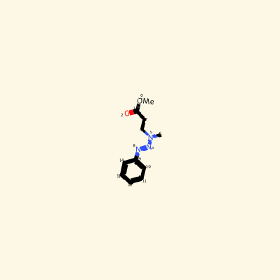 COC(=O)CCN(C)/N=N/c1ccccc1